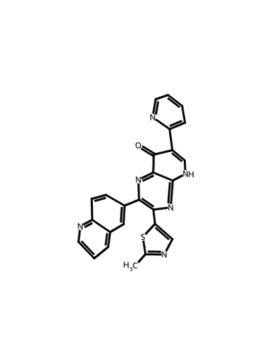 Cc1ncc(-c2nc3[nH]cc(-c4ccccn4)c(=O)c3nc2-c2ccc3ncccc3c2)s1